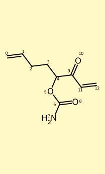 C=CCCC(OC(N)=O)C(=O)C=C